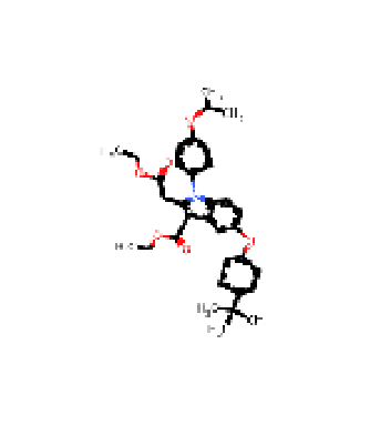 CCOC(=O)Cc1c(C(=O)OCC)c2cc(Oc3ccc(C(C)(C)C)cc3)ccc2n1-c1ccc(OC(C)C)cc1